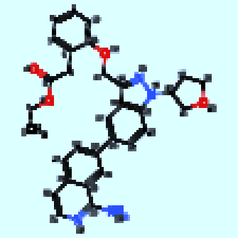 CCOC(=O)Cc1ccccc1OCc1nn(C2CCOC2)c2ccc(-c3ccc4ccnc(N)c4c3)cc12